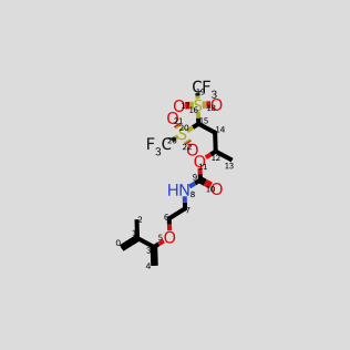 C=C(C)C(=C)OCCNC(=O)OC(C)CC(S(=O)(=O)C(F)(F)F)S(=O)(=O)C(F)(F)F